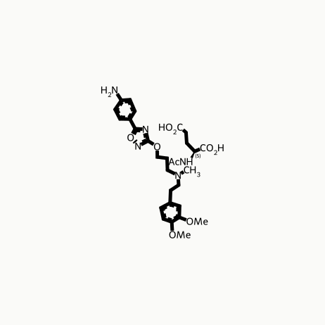 CC(=O)N[C@@H](CCC(=O)O)C(=O)O.COc1ccc(CCN(C)CCCOc2noc(-c3ccc(N)cc3)n2)cc1OC